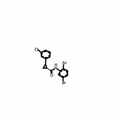 CC(=O)c1ccc(Br)cc1NC(=O)[C@H]1CC1c1cccc(Cl)c1